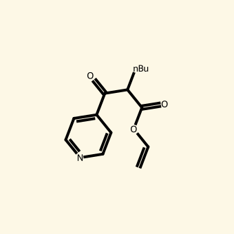 C=COC(=O)C(CCCC)C(=O)c1ccncc1